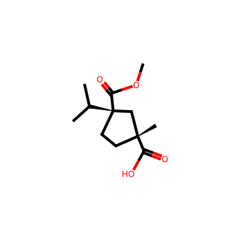 COC(=O)[C@@]1(C(C)C)CC[C@@](C)(C(=O)O)C1